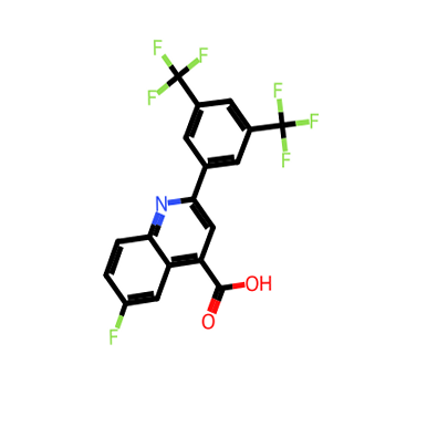 O=C(O)c1cc(-c2cc(C(F)(F)F)cc(C(F)(F)F)c2)nc2ccc(F)cc12